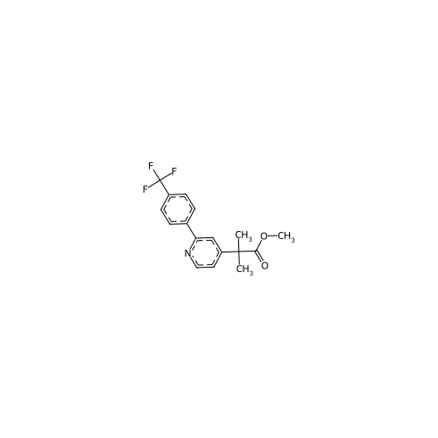 COC(=O)C(C)(C)c1ccnc(-c2ccc(C(F)(F)F)cc2)c1